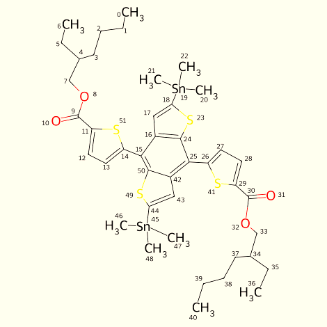 CCCCC(CC)COC(=O)c1ccc(-c2c3c[c]([Sn]([CH3])([CH3])[CH3])sc3c(-c3ccc(C(=O)OCC(CC)CCCC)s3)c3c[c]([Sn]([CH3])([CH3])[CH3])sc23)s1